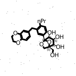 CCCc1ccc([C@]23OC[C@](CO)(O2)[C@@H](O)[C@H](O)[C@H]3O)cc1Cc1ccc2c(c1)OCCO2